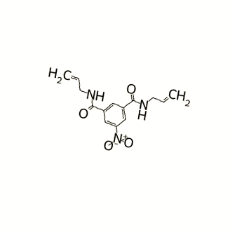 C=CCNC(=O)c1cc(C(=O)NCC=C)cc([N+](=O)[O-])c1